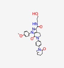 COc1ccc(-n2nc(C(=O)NCCCO)c3c2C(=O)N(c2ccc(N4CCCCC4=O)cc2)CC3)cc1